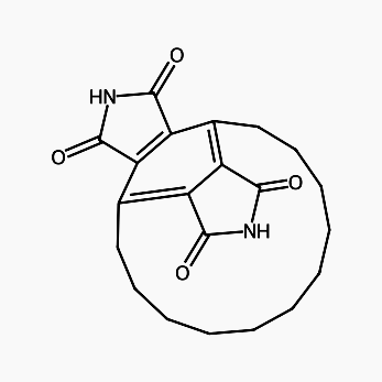 O=c1[nH]c(=O)c2c3c4c(=O)[nH]c(=O)c4c(c12)CCCCCCCCCCC3